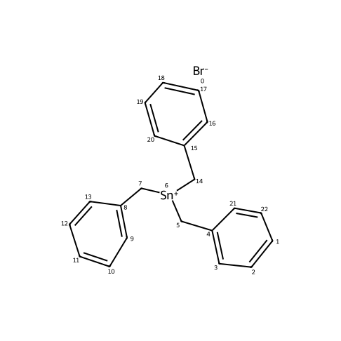 [Br-].c1ccc([CH2][Sn+]([CH2]c2ccccc2)[CH2]c2ccccc2)cc1